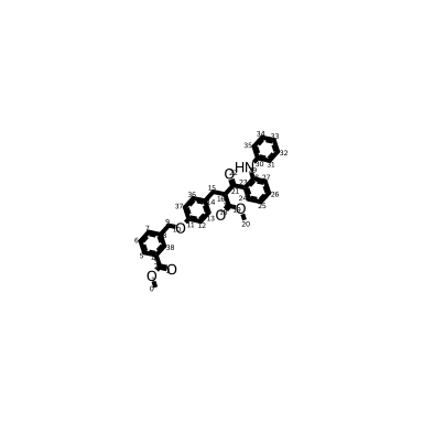 COC(=O)c1cccc(COc2ccc(CC(C(=O)OC)C(=O)c3ccccc3Nc3ccccc3)cc2)c1